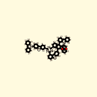 c1ccc(-c2nc(-c3ccc4c(c3)oc3cc(-n5c6ccccc6c6ccccc65)ccc34)nc(-c3cccc4oc5ccc(-c6ccc(-c7cccc8c9ccccc9n(-c9ccccc9)c78)c7oc8ccccc8c67)cc5c34)n2)cc1